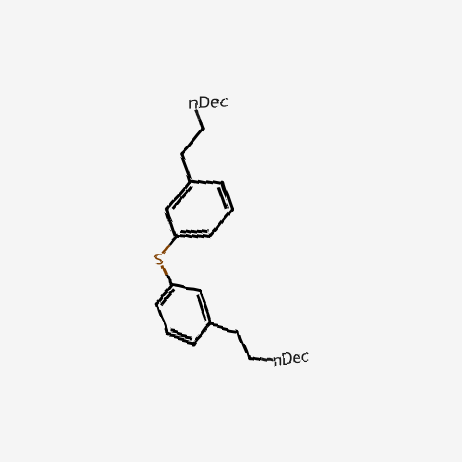 CCCCCCCCCCCCc1cccc(Sc2cccc(CCCCCCCCCCCC)c2)c1